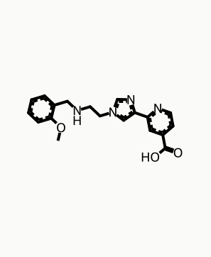 COc1ccccc1CNCCn1cnc(-c2cc(C(=O)O)ccn2)c1